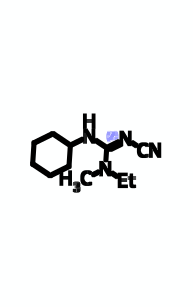 CCN(C)/C(=N\C#N)NC1CCCCC1